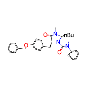 CCCC[C@@H]1N(C)C(=O)[C@H](Cc2ccc(OCc3ccccc3)cc2)N1C(=O)N(C)c1ccccc1